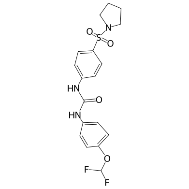 O=C(Nc1ccc(OC(F)F)cc1)Nc1ccc(S(=O)(=O)N2CCCC2)cc1